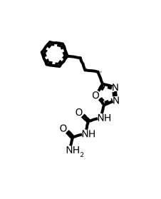 NC(=O)NC(=O)Nc1nnc([CH]CCc2ccccc2)o1